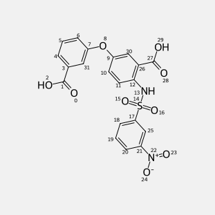 O=C(O)c1cccc(Oc2ccc(NS(=O)(=O)c3cccc([N+](=O)[O-])c3)c(C(=O)O)c2)c1